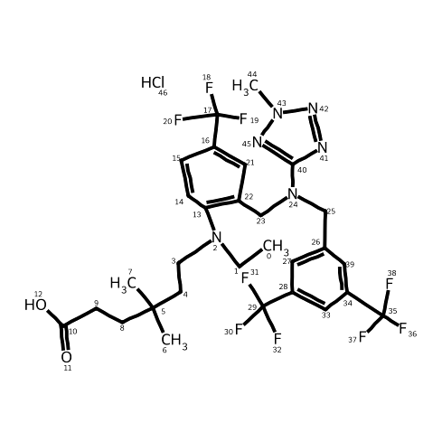 CCN(CCC(C)(C)CCC(=O)O)c1ccc(C(F)(F)F)cc1CN(Cc1cc(C(F)(F)F)cc(C(F)(F)F)c1)c1nnn(C)n1.Cl